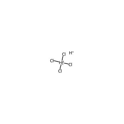 [Cl][Hf]([Cl])([Cl])[Cl].[H+]